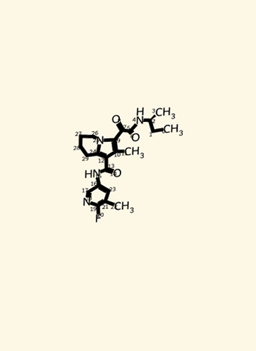 CC[C@H](C)NC(=O)C(=O)c1c(C)c(C(=O)Nc2cnc(F)c(C)c2)c2n1CCCC2